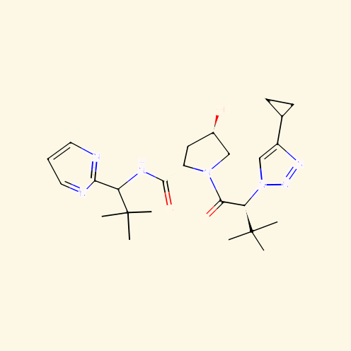 CC(C)(C)C(NC(=O)[C@@H]1C[C@@H](O)CN1C(=O)[C@@H](n1cc(C2CC2)nn1)C(C)(C)C)c1ncccn1